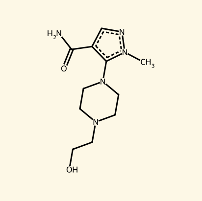 Cn1ncc(C(N)=O)c1N1CCN(CCO)CC1